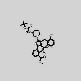 COC(=O)c1cccc2c3nc(N4CCC[C@@H](NC(=O)OC(C)(C)C)C4)n(Cc4ccccc4Cl)c3c(=O)n(C)c12